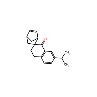 CC(C)c1ccc2c(c1)C(=O)C1(CC2)CC2C=CC1C2